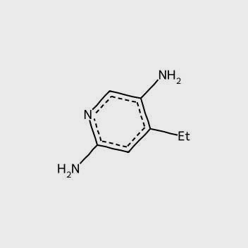 CCc1cc(N)ncc1N